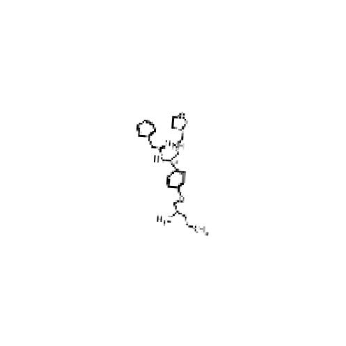 CCCC(C)COc1ccc([C@H](CNCC2CCOC2)NC(=O)Cc2ccccc2)cc1